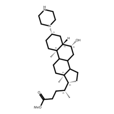 COC(=O)CC[C@@H](C)[C@H]1CCC2C3C[C@@H](O)[C@H]4C[C@@H](N5CCNCC5)CC[C@]4(C)C3CC[C@@]21C